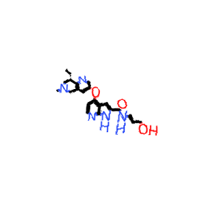 CC[C@H]1CN(C)Cc2cc(Oc3ccnc4[nH]c(C(=O)NCCCO)cc34)cnc21